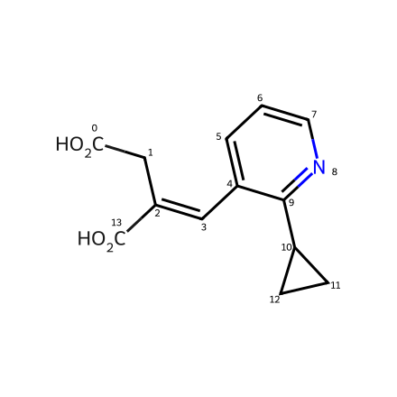 O=C(O)CC(=Cc1cccnc1C1CC1)C(=O)O